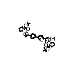 CC(C)(C)OC(=O)N1CCC[C@H]1c1nc(-c2ccc(-c3ccc(-c4cnc([C@@H]5CCCN5C(=O)OC(C)(C)C)s4)cc3)cc2)c[nH]1